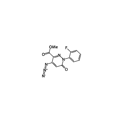 COC(=O)c1nn(-c2ccccc2F)c(=O)cc1N=[N+]=[N-]